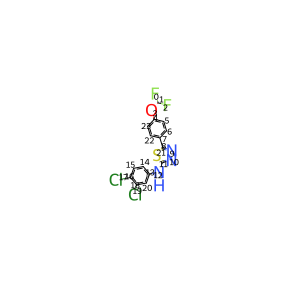 FC(F)Oc1ccc(-c2nnc(Nc3ccc(Cl)c(Cl)c3)s2)cc1